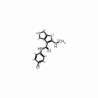 CNc1sc2c(c1C(=O)Nc1ccc(Cl)cc1)CSC2